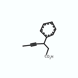 CC#CC(CC(=O)O)c1ccccc1